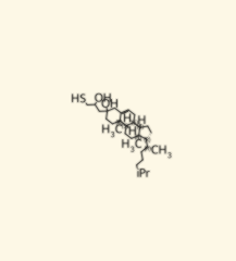 CC(C)CCC[C@@H](C)[C@H]1CC[C@H]2[C@@H]3CC=C4CC(O)(CC(O)CS)CC[C@]4(C)[C@H]3CC[C@]12C